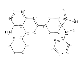 Nc1ncnc2nc(N3CCC4(CC3)C(=O)NCN4c3ccccc3)cc(C3CCCCC3)c12